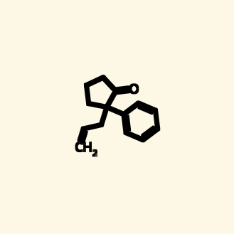 C=CCC1(c2ccccc2)CCCC1=O